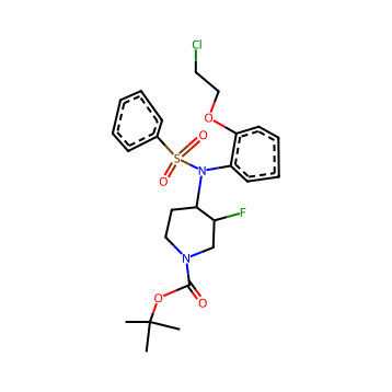 CC(C)(C)OC(=O)N1CCC(N(c2ccccc2OCCCl)S(=O)(=O)c2ccccc2)C(F)C1